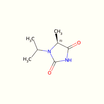 CC(C)N1C(=O)NC(=O)[C@@H]1C